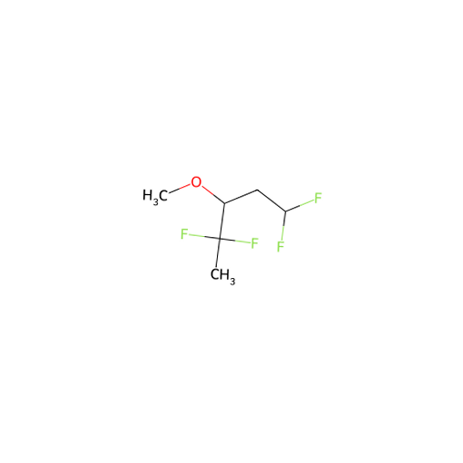 COC(CC(F)F)C(C)(F)F